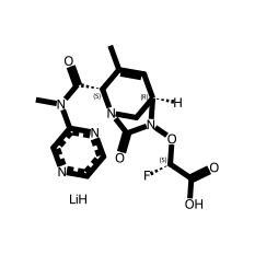 CC1=C[C@@H]2CN(C(=O)N2O[C@@H](F)C(=O)O)[C@@H]1C(=O)N(C)c1cnccn1.[LiH]